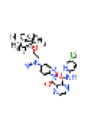 CC(C)(C)[Si](C)(C)OCCN(C#N)c1ccc(NC(=O)c2nccnc2C(=O)Nc2ccc(Cl)cn2)cc1